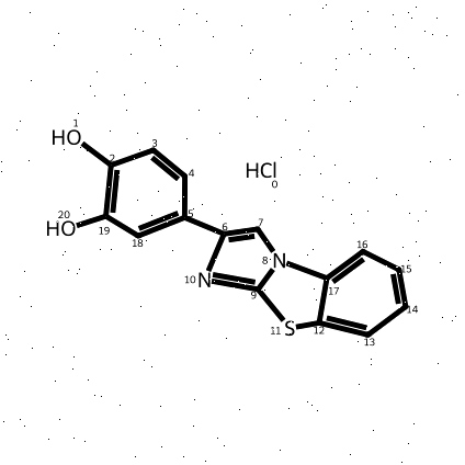 Cl.Oc1ccc(-c2cn3c(n2)sc2ccccc23)cc1O